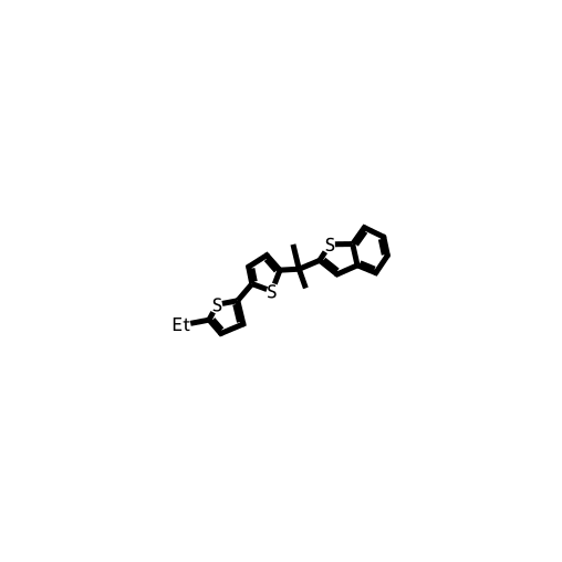 CCc1ccc(-c2ccc(C(C)(C)c3cc4ccccc4s3)s2)s1